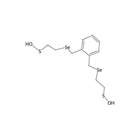 OSCC[Se]Cc1ccccc1C[Se]CCSO